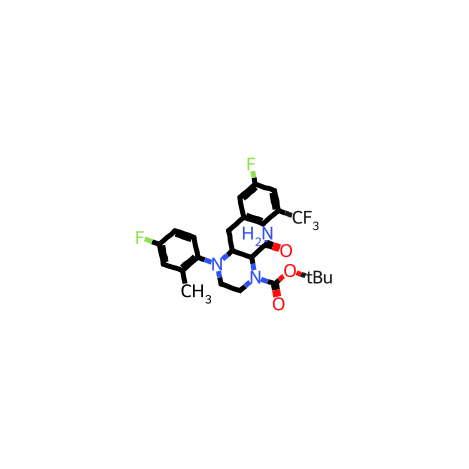 Cc1cc(F)ccc1N1CCN(C(=O)OC(C)(C)C)C(C(N)=O)C1Cc1cc(F)cc(C(F)(F)F)c1